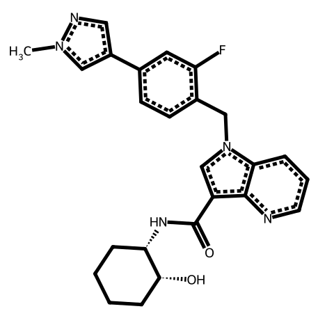 Cn1cc(-c2ccc(Cn3cc(C(=O)N[C@H]4CCCC[C@H]4O)c4ncccc43)c(F)c2)cn1